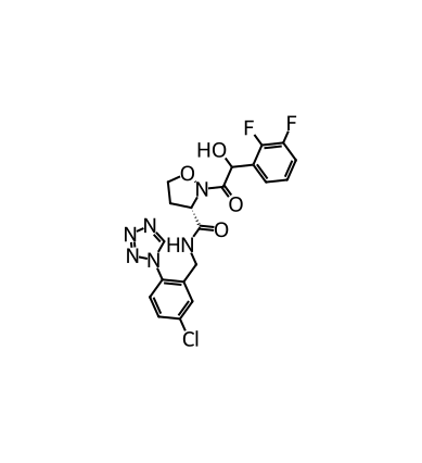 O=C(NCc1cc(Cl)ccc1-n1cnnn1)[C@@H]1CCON1C(=O)C(O)c1cccc(F)c1F